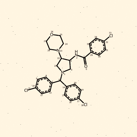 O=C(NC1CN(C(c2ccc(Cl)cc2)c2ccc(Cl)cc2)CC1N1CCOCC1)c1ccc(Cl)cc1